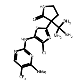 BC(B)(B)C1(c2nc(Cl)c(Nc3ncc(C(F)(F)F)c(NC)n3)s2)CCNC1=O